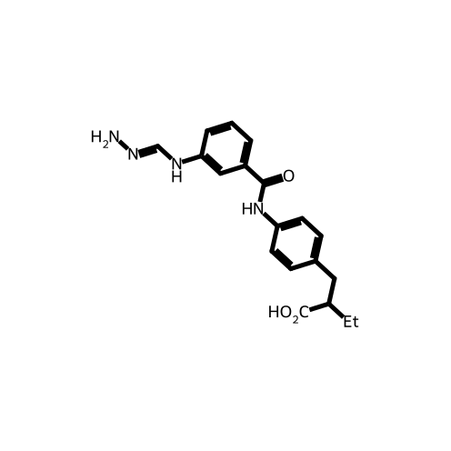 CCC(Cc1ccc(NC(=O)c2cccc(NC=NN)c2)cc1)C(=O)O